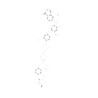 CCc1cc(Nc2ncc(Br)c(Nc3ccc4c(=O)n(C)ncc4c3P(C)(C)=O)n2)c(OC)cc1N1CCC(N2CCN(CCc3cccc(N(C)C4CCC(=O)NC4=O)c3C3(C=O)CC3)CC2)CC1